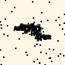 CCOC[C@@H]1CCCN(C[C@H]2CCCC[C@@H]2NC(=O)c2ccc(CN(C(C)=O)C(C)=O)cc2)C1